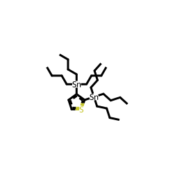 CCC[CH2][Sn]([CH2]CCC)([CH2]CCC)[c]1ccs[c]1[Sn]([CH2]CCC)([CH2]CCC)[CH2]CCC